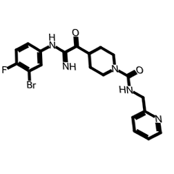 N=C(Nc1ccc(F)c(Br)c1)C(=O)C1CCN(C(=O)NCc2ccccn2)CC1